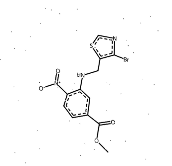 COC(=O)c1ccc([N+](=O)[O-])c(NCc2scnc2Br)c1